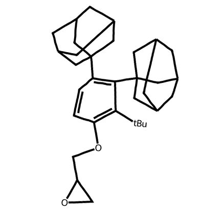 CC(C)(C)c1c(OCC2CO2)ccc(C23CC4CC(CC(C4)C2)C3)c1C12CC3CC(CC(C3)C1)C2